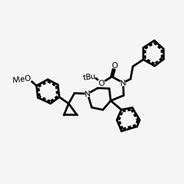 COc1ccc(C2(CN3CCC(CN(CCc4ccccc4)C(=O)OC(C)(C)C)(c4ccccc4)CC3)CC2)cc1